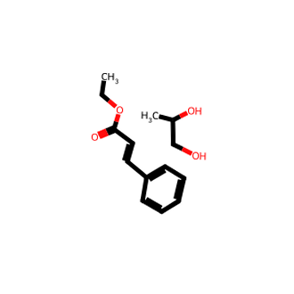 CC(O)CO.CCOC(=O)C=Cc1ccccc1